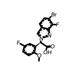 COc1ccc(F)cc1[C@H](C(=O)O)n1cc2ccc(Br)c(F)c2n1